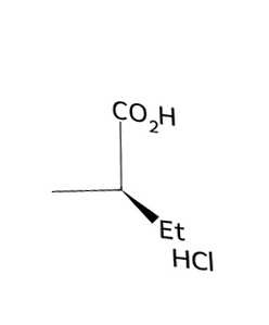 CC[C@@H](C)C(=O)O.Cl